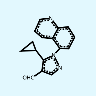 O=[C]c1cnn(-c2cccc3ncccc23)c1C1CC1